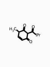 CC(C)C(=O)C1C(=O)C=CC(C)C1=O